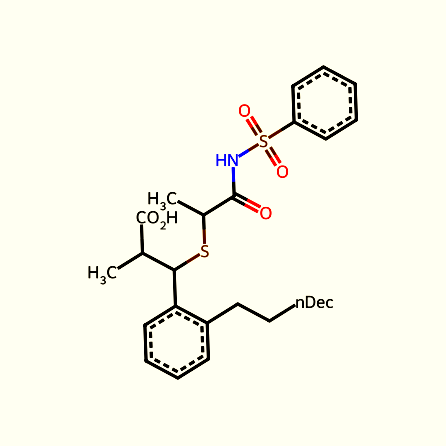 CCCCCCCCCCCCc1ccccc1C(SC(C)C(=O)NS(=O)(=O)c1ccccc1)C(C)C(=O)O